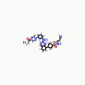 CC(=O)N1CCN(c2cccc(Nc3ncc4cccc(-c5ccc(S(=O)(=O)NCCC#N)cc5)c4n3)c2)CC1